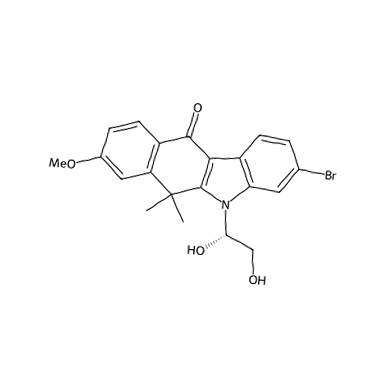 COc1ccc2c(c1)C(C)(C)c1c(c3ccc(Br)cc3n1[C@@H](O)CO)C2=O